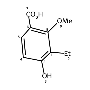 CCc1c(O)ccc(C(=O)O)c1OC